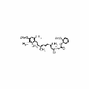 COc1cc(C)c(C=CC(C)=CC=CC(C)=CC(=O)OCC(=O)Oc2ccccc2OC(C)=O)c(C)c1C